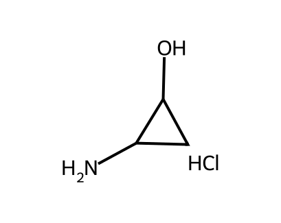 Cl.NC1CC1O